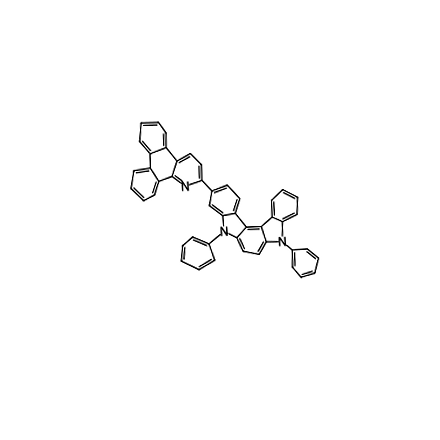 c1ccc(-n2c3ccccc3c3c4c5ccc(-c6ccc7c8ccccc8c8ccccc8c7n6)cc5n(-c5ccccc5)c4ccc32)cc1